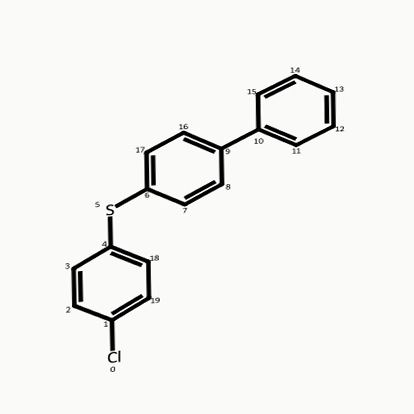 Clc1ccc(Sc2ccc(-c3ccccc3)cc2)cc1